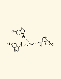 Clc1ccc2c(NCCCCN(CCCNc3ccnc4cc(Cl)ccc34)CCCNc3ccnc4cc(Cl)ccc34)ccnc2c1